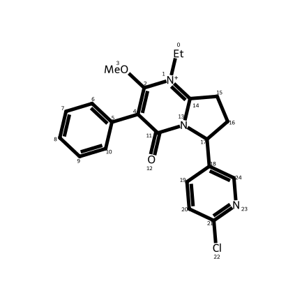 CC[n+]1c(OC)c(-c2ccccc2)c(=O)n2c1CCC2c1ccc(Cl)nc1